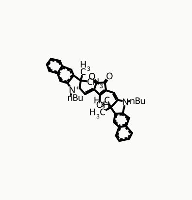 CCCCN1/C(=C/C2=C(O)C(=C/C3=[N+](CCCC)c4cc5ccccc5cc4C3(C)C)/C(=O)C2=O)C(C)(C)c2cc3ccccc3cc21